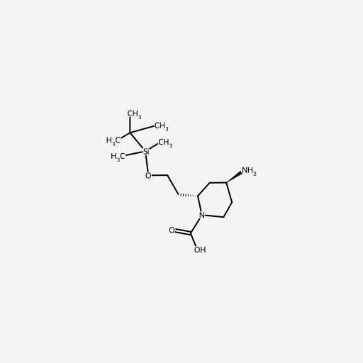 CC(C)(C)[Si](C)(C)OCC[C@@H]1C[C@@H](N)CCN1C(=O)O